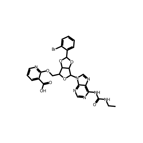 CCNC(=O)Nc1ncnc2c1ncn2C1OC(COc2ncccc2C(=O)O)C2OC(c3ccccc3Br)OC21